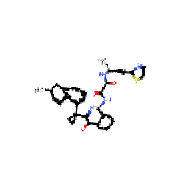 CC1C=Cc2c(cccc2C2(C(=N)C(=O)c3ccccc3CNC(=O)C(=O)N[C@@H](C)C#Cc3nccs3)CC2)C1